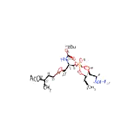 C=CCOP(=O)(OCCN)OC[C@@H](COCC[C@@H](C)OC(C)=O)NC(=O)OC(C)(C)C